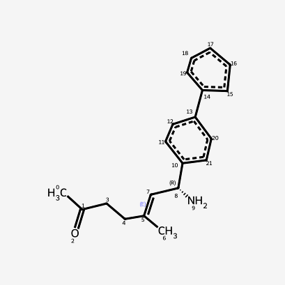 CC(=O)CC/C(C)=C/[C@@H](N)c1ccc(-c2ccccc2)cc1